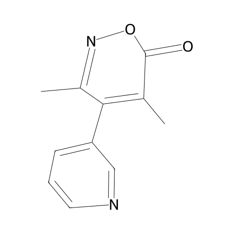 Cc1noc(=O)c(C)c1-c1cccnc1